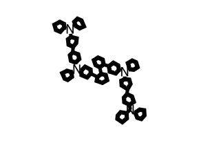 c1ccc(N(c2ccccc2)c2ccc(-c3ccc(N(c4ccccc4)c4ccc(-c5ccccc5-c5ccccc5-c5ccc(N(c6ccccc6)c6ccc(-c7ccc(N(c8ccccc8)c8ccccc8)cc7)cc6)cc5)cc4)cc3)cc2)cc1